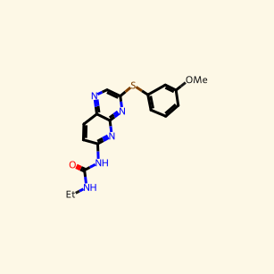 CCNC(=O)Nc1ccc2ncc(Sc3cccc(OC)c3)nc2n1